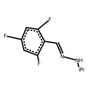 CC(C)N/N=C/c1c(F)cc(F)cc1F